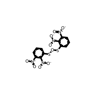 O=[N+]([O-])c1cccc(SOSc2cccc([N+](=O)[O-])c2[N+](=O)[O-])c1[N+](=O)[O-]